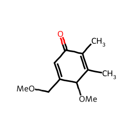 COCC1=CC(=O)C(C)=C(C)C1OC